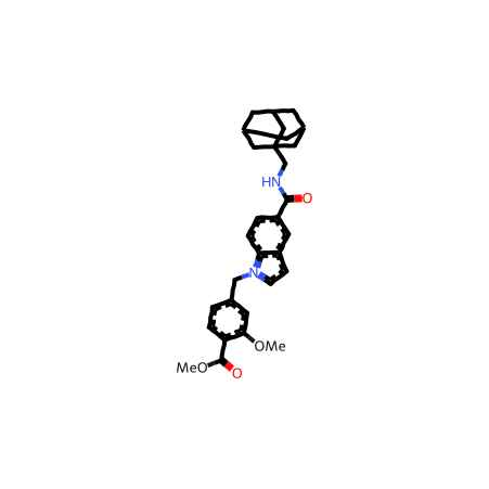 COC(=O)c1ccc(Cn2ccc3cc(C(=O)NCC45CC6CC(CC(C6)C4)C5)ccc32)cc1OC